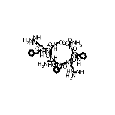 N=C(N)NCCC[C@H](NC(=O)Cc1ccccc1)C(=O)N[C@H]1CC(=O)NCCCC[C@@H](C(N)=O)NC(=O)[C@H](Cc2c[nH]c3ccccc23)NC(=O)[C@H](CCCNC(=N)N)NC(=O)[C@@H](Cc2ccccc2)NC(O)[C@H](CCN)NC1=O